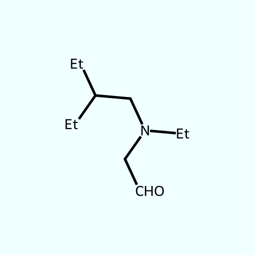 CCC(CC)CN(CC)CC=O